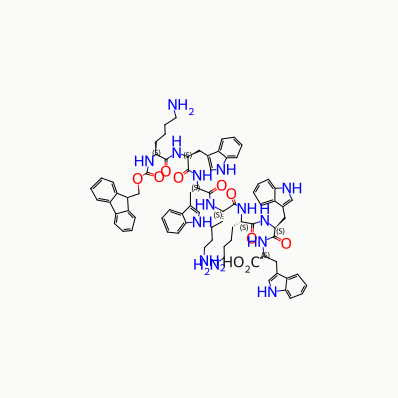 NCCCC[C@H](NC(=O)OCC1c2ccccc2-c2ccccc21)C(=O)N[C@@H](Cc1c[nH]c2ccccc12)C(=O)N[C@@H](Cc1c[nH]c2ccccc12)C(=O)N[C@@H](CCCCN)C(=O)N[C@@H](CCCCN)C(=O)N[C@@H](Cc1c[nH]c2ccccc12)C(=O)N[C@@H](Cc1c[nH]c2ccccc12)C(=O)O